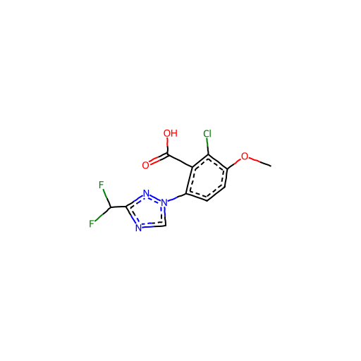 COc1ccc(-n2cnc(C(F)F)n2)c(C(=O)O)c1Cl